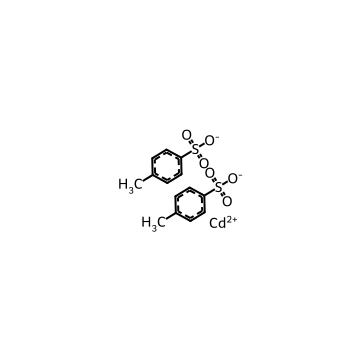 Cc1ccc(S(=O)(=O)[O-])cc1.Cc1ccc(S(=O)(=O)[O-])cc1.[Cd+2]